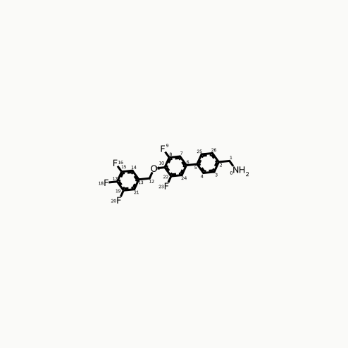 NCc1ccc(-c2cc(F)c(OCc3cc(F)c(F)c(F)c3)c(F)c2)cc1